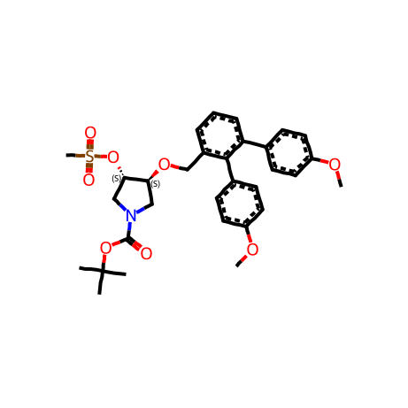 COc1ccc(-c2cccc(CO[C@H]3CN(C(=O)OC(C)(C)C)C[C@@H]3OS(C)(=O)=O)c2-c2ccc(OC)cc2)cc1